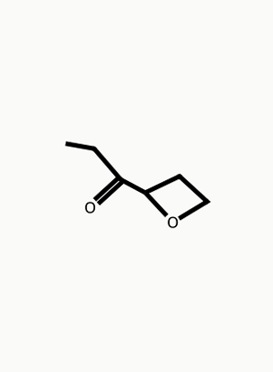 CCC(=O)C1CCO1